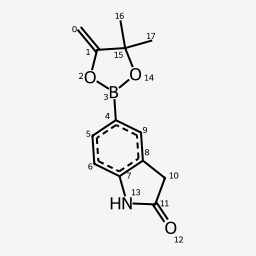 C=C1OB(c2ccc3c(c2)CC(=O)N3)OC1(C)C